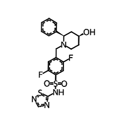 O=S(=O)(Nc1ncns1)c1cc(F)c(CN2CC[C@H](O)C[C@@H]2c2ccccc2)cc1F